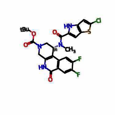 CN(C(=O)c1cc2sc(Cl)cc2[nH]1)[C@H]1CN(C(=O)OC(C)(C)C)Cc2[nH]c(=O)c3cc(F)c(F)cc3c21